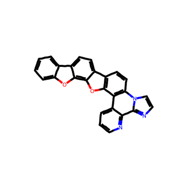 c1ccc2c(c1)oc1c2ccc2c3ccc4c(c5cccnc5c5nccn45)c3oc21